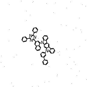 c1ccc(-c2cccc(-n3c4ccccc4c4cc5c6ccccc6n(-c6cc(-c7nc(-c8ccccc8)nc(-c8ccccc8)n7)cc7ccccc67)c5cc43)c2)cc1